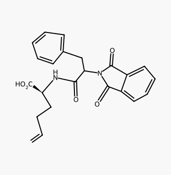 C=CCC[C@H](NC(=O)C(Cc1ccccc1)N1C(=O)c2ccccc2C1=O)C(=O)O